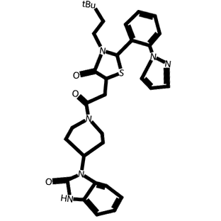 CC(C)(C)CCN1C(=O)C(CC(=O)N2CCC(n3c(=O)[nH]c4ccccc43)CC2)SC1c1ccccc1-n1cccn1